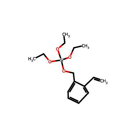 C=Cc1ccccc1CO[Si](OCC)(OCC)OCC